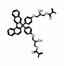 C=C(C)C(=O)OCC(O)COc1ccc(C2(c3ccc(OCC(O)COC(=O)C(=C)C)cc3)c3cc4ccccc4cc3-c3c2ccc2ccccc32)cc1